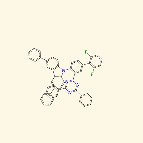 Fc1cccc(F)c1-c1ccc(N2c3ccc(-c4ccccc4)cc3C3C=C(c4ccccc4)C=CC32)c(-c2nc(-c3ccccc3)nc(-c3ccccc3)n2)c1